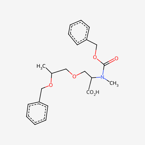 CC(COCC(C(=O)O)N(C)C(=O)OCc1ccccc1)OCc1ccccc1